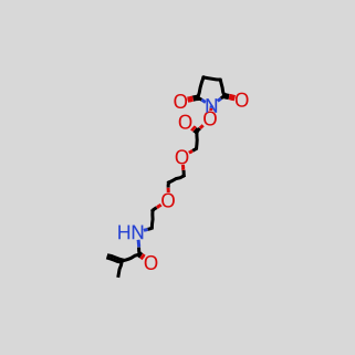 C=C(C)C(=O)NCCOCCOCC(=O)ON1C(=O)CCC1=O